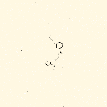 NN=CNc1cccc(C(=O)NCC(=O)NC(CC(=O)O)c2cc[nH]n2)c1